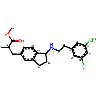 COC(=O)C(C)Cc1ccc2c(c1)CCC2NCCc1cc(Cl)cc(Cl)c1